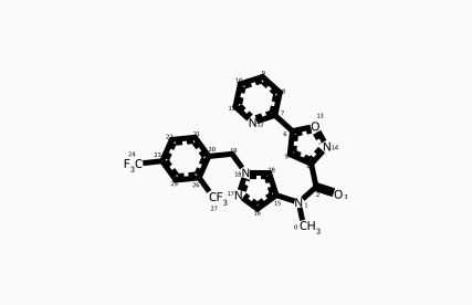 CN(C(=O)c1cc(-c2ccccn2)on1)c1cnn(Cc2ccc(C(F)(F)F)cc2C(F)(F)F)c1